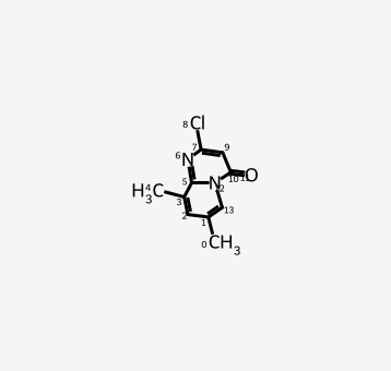 Cc1cc(C)c2nc(Cl)cc(=O)n2c1